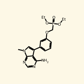 CCOP(=O)(COc1cccc(-c2cn(C)c3ncnc(N)c23)c1)OCC